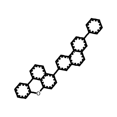 c1ccc(-c2ccc3c(ccc4cc(-c5ccc6c7c(cccc57)-c5ccccc5O6)ccc43)c2)cc1